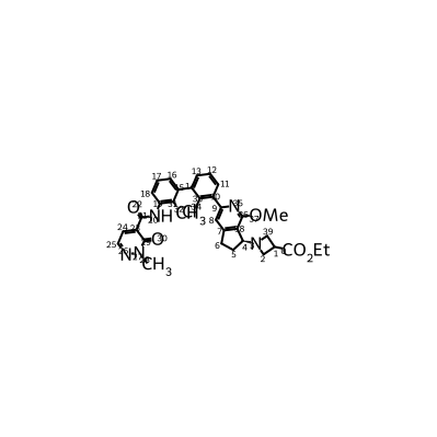 CCOC(=O)C1CN([C@H]2CCc3cc(-c4cccc(-c5cccc(NC(=O)c6ccnn(C)c6=O)c5C)c4Cl)nc(OC)c32)C1